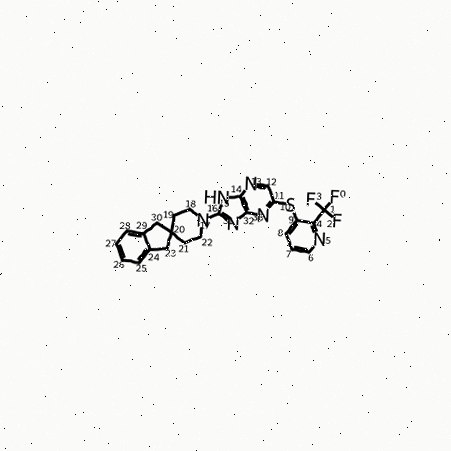 FC(F)(F)c1ncccc1Sc1cnc2[nH]c(N3CCC4(CC3)Cc3ccccc3C4)nc2n1